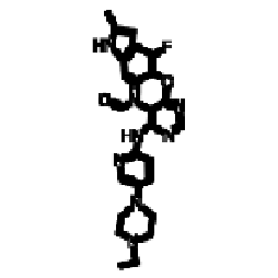 CCN1CCN(c2ccc(Nc3ncnc(Oc4ccc5[nH]c(C)cc5c4F)c3NC=O)nc2)CC1